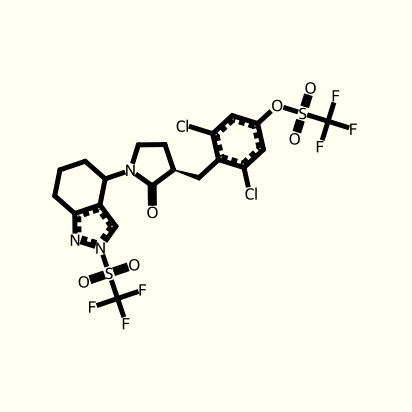 O=C1[C@H](Cc2c(Cl)cc(OS(=O)(=O)C(F)(F)F)cc2Cl)CCN1C1CCCc2nn(S(=O)(=O)C(F)(F)F)cc21